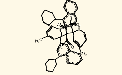 CC(=O)C(C(=O)C(=O)O)(C1(c2cc(C3CCCCC3)c3ccccc3c2)C=C(C)C=CN1)C1(c2cc(C3CCCCC3)c3ccccc3c2)C=C(C)C=CN1